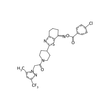 Cc1cc(C(F)(F)F)nn1CC(=O)N1CCC(c2nc3c(s2)C(=NOC(=O)c2ccc(Cl)cc2)CCC3)CC1